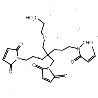 C/C=C\C(=O)N(C=O)CCCC(CCCN1C(=O)C=CC1=O)(COCCC(=O)O)CN1C(=O)C=CC1=O